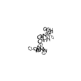 O=C(CO[C@@H]1C[C@@H](CNc2ccccn2)N(C(=O)OCc2ccccc2)C1)NC[C@H](NC(=O)C1CCC1)C(=O)O